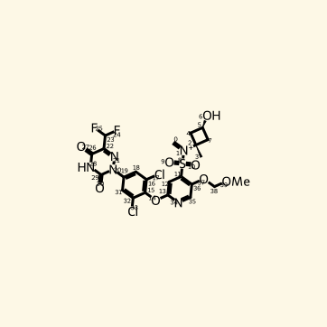 C=[N+]([C@]1(C)C[C@@H](O)C1)S(=O)(=O)c1cc(Oc2c(Cl)cc(-n3nc(C(F)F)c(=O)[nH]c3=O)cc2Cl)ncc1OCOC